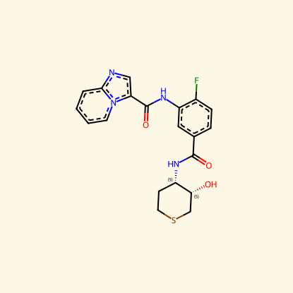 O=C(N[C@H]1CCSC[C@H]1O)c1ccc(F)c(NC(=O)c2cnc3ccccn23)c1